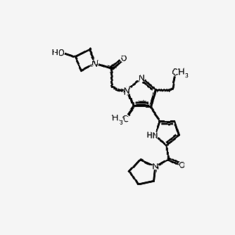 CCc1nn(CC(=O)N2CC(O)C2)c(C)c1-c1ccc(C(=O)N2CCCC2)[nH]1